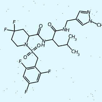 CC(C)CC(NC(=O)C1CC(F)(F)CCN1S(=O)(=O)Cc1c(F)cc(F)cc1F)C(=O)NCc1cnn(C)c1